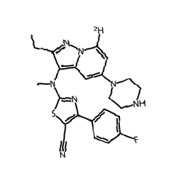 [2H]c1cc(N2CCNCC2)cc2c(N(C)c3nc(-c4ccc(F)cc4)c(C#N)s3)c(CC)nn12